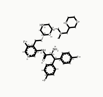 CN(CC1COCCO1)C[C@H]1CNC[C@@H](CCc2c(F)cncc2NC(=O)[C@@H](N)C(c2ccc(F)cc2)c2ccc(F)cc2)O1